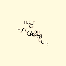 CCOC(=O)C[C@H](O)C[C@H](O)/C=C/c1c(C)cc(C)cc1-c1ccc(F)c(C)c1